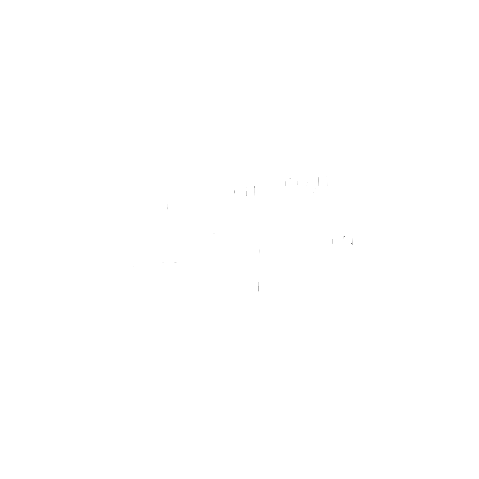 CC(F)(CF)C(F)=C(C#N)C(=O)O